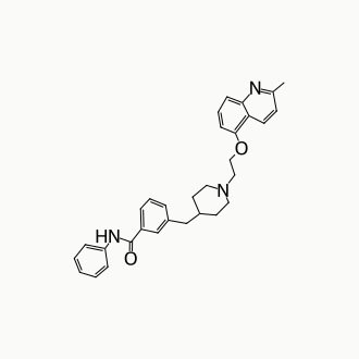 Cc1ccc2c(OCCN3CCC(Cc4cccc(C(=O)Nc5ccccc5)c4)CC3)cccc2n1